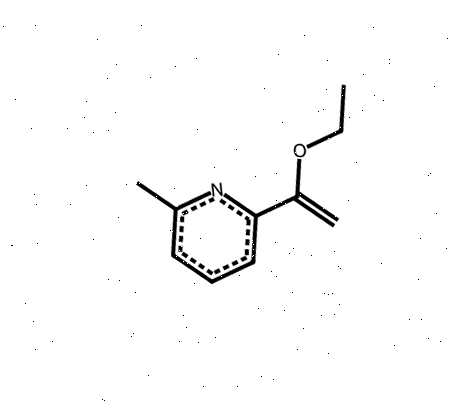 C=C(OCC)c1cccc(C)n1